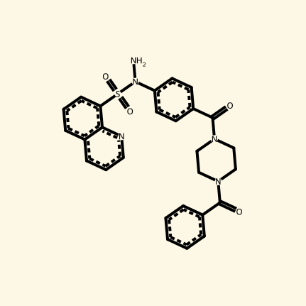 NN(c1ccc(C(=O)N2CCN(C(=O)c3ccccc3)CC2)cc1)S(=O)(=O)c1cccc2cccnc12